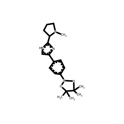 CN1CCCC1c1nc(-c2ccc(B3OC(C)(C)C(C)(C)O3)cc2)c[nH]1